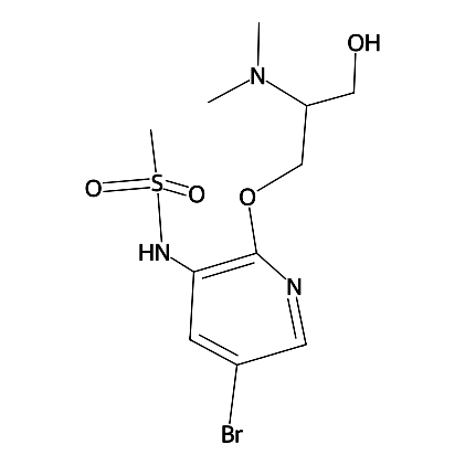 CN(C)C(CO)COc1ncc(Br)cc1NS(C)(=O)=O